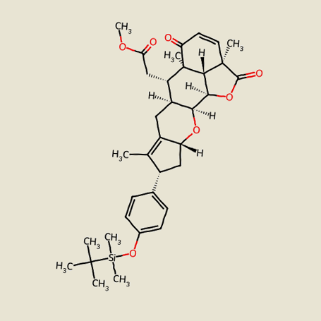 COC(=O)C[C@H]1[C@@H]2CC3=C(C)[C@@H](c4ccc(O[Si](C)(C)C(C)(C)C)cc4)C[C@H]3O[C@@H]2[C@@H]2OC(=O)[C@]3(C)C=CC(=O)[C@@]1(C)[C@@H]23